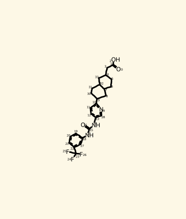 O=C(O)CC1CCC2CC(c3ccc(NC(=O)Nc4cccc(C(F)(F)F)c4)cn3)CCC2C1